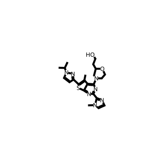 Cc1c(-c2ccn(C(C)C)n2)sc2nc(-c3nccn3C)nc(N3CCOC(CCO)C3)c12